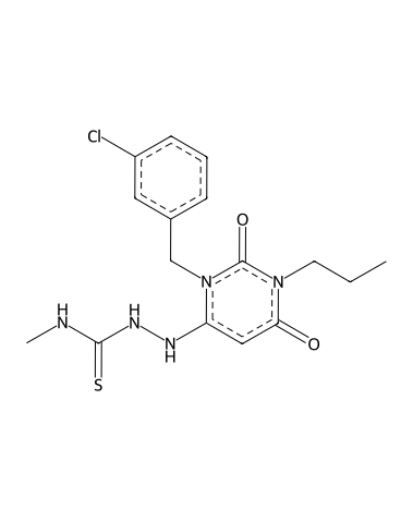 CCCn1c(=O)cc(NNC(=S)NC)n(Cc2cccc(Cl)c2)c1=O